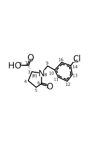 O=C(O)[C@H]1CCC(=O)N1Cc1cccc(Cl)c1